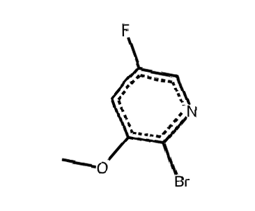 COc1cc(F)cnc1Br